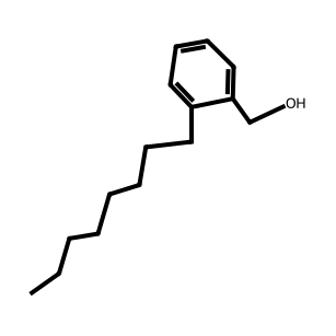 CCCCCCCCc1ccccc1CO